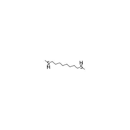 C[SH](C)CCCCCCCC[SH](C)C